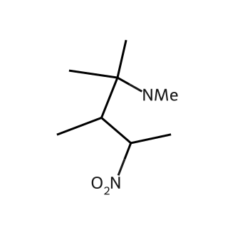 CNC(C)(C)C(C)C(C)[N+](=O)[O-]